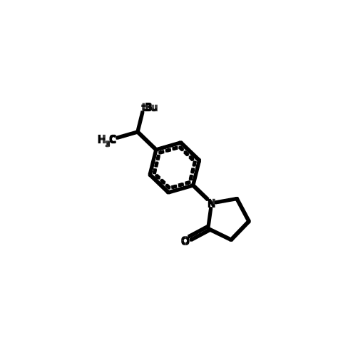 CC(c1ccc(N2CCCC2=O)cc1)C(C)(C)C